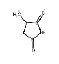 C[C]1CC(=O)NC1=O